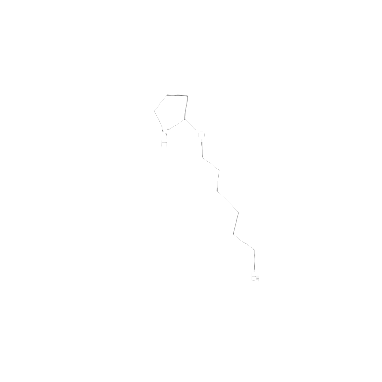 BrCCCCCCOC1CCCN1